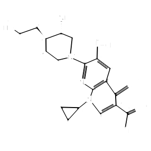 Cl.N[C@@H]1CN(c2nc3c(cc2F)c(=O)c(C(=O)O)cn3C2CC2)CC[C@H]1CCO